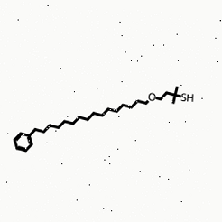 CC(C)(S)CCOCCCCCCCCCCCCCCCCc1ccccc1